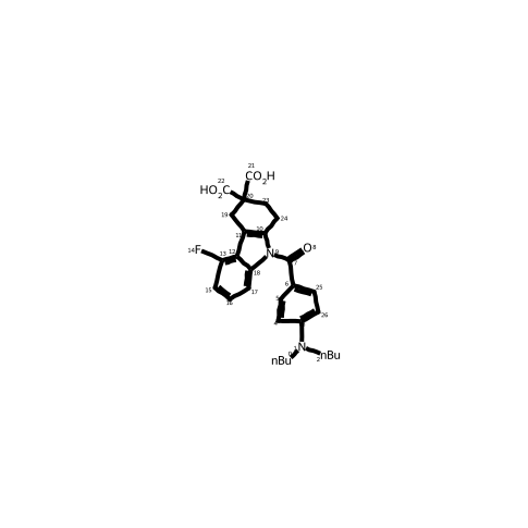 CCCCN(CCCC)c1ccc(C(=O)n2c3c(c4c(F)cccc42)CC(C(=O)O)(C(=O)O)CC3)cc1